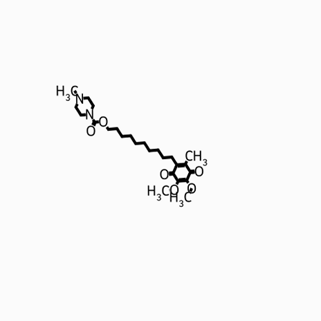 COC1=C(OC)C(=O)C(CCCCCCCCCCOC(=O)N2CCN(C)CC2)=C(C)C1=O